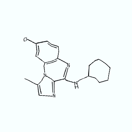 Cc1cnc2c(NC3CCCCC3)nc3ccc(Cl)cc3n12